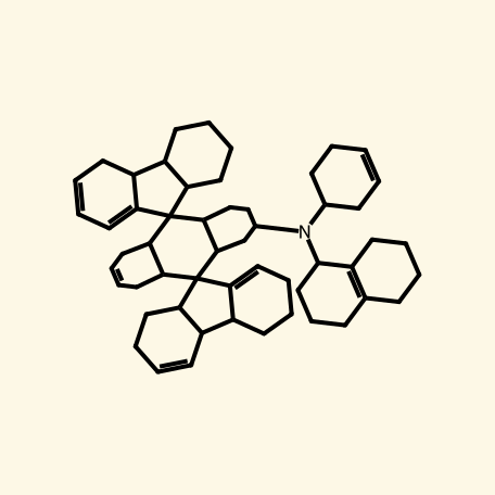 C1=CCC2C(=C1)C1(C3CCCCC23)C2CC=CCC2C2(C3=CCCCC3C3C=CCCC32)C2CC(N(C3CC=CCC3)C3CCCC4=C3CCCC4)CCC21